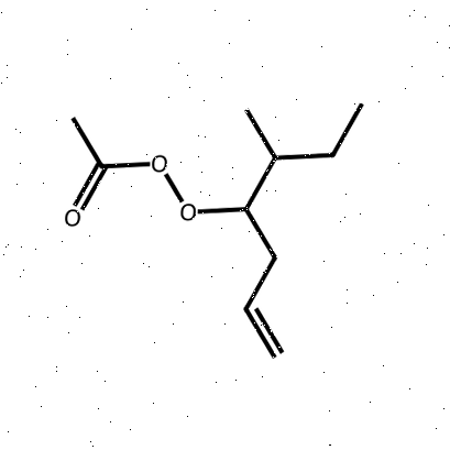 C=CCC(OOC(C)=O)C(C)CC